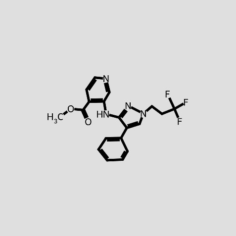 COC(=O)c1ccncc1Nc1nn(CCC(F)(F)F)cc1-c1ccccc1